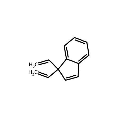 C=CC1(C=C)C=Cc2ccccc21